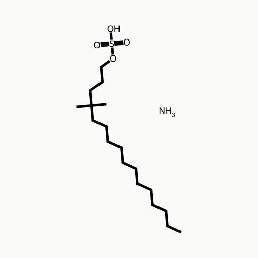 CCCCCCCCCCCCC(C)(C)CCCOS(=O)(=O)O.N